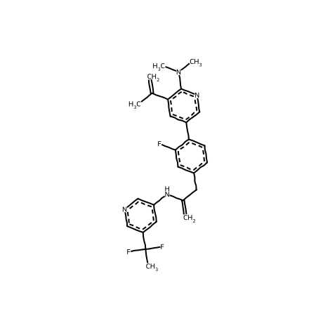 C=C(Cc1ccc(-c2cnc(N(C)C)c(C(=C)C)c2)c(F)c1)Nc1cncc(C(C)(F)F)c1